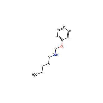 CCCCCNCOc1ccccc1